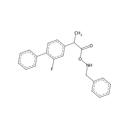 CC(C(=O)ONCc1ccccc1)c1ccc(-c2ccccc2)c(F)c1